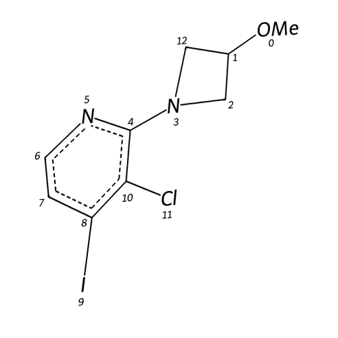 COC1CN(c2nccc(I)c2Cl)C1